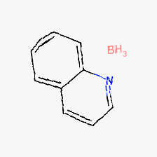 B.c1ccc2ncccc2c1